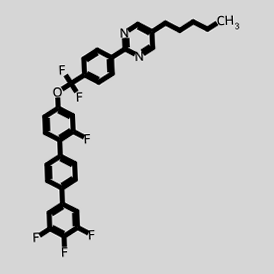 CCCCCc1cnc(-c2ccc(C(F)(F)Oc3ccc(-c4ccc(-c5cc(F)c(F)c(F)c5)cc4)c(F)c3)cc2)nc1